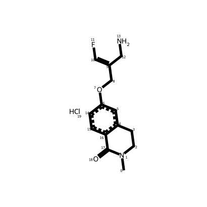 CN1CCc2cc(OCC(=CF)CN)ccc2C1=O.Cl